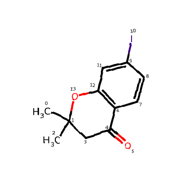 CC1(C)CC(=O)c2ccc(I)cc2O1